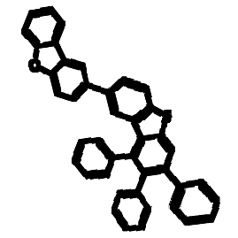 c1ccc(-c2cc3sc4ccc(-c5ccc6oc7ccccc7c6c5)cc4c3c(-c3ccccc3)c2-c2ccccc2)cc1